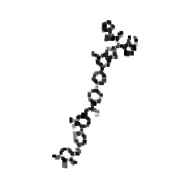 O=C1CCC(Oc2ccc(C3CCN(CC(=O)N4CCN(c5ccc(-c6cc(F)c7cn(C(C(=O)Nc8nccs8)c8ncn9c8CCC9)nc7c6)cc5)CC4)CC3(F)F)nc2)C(=O)N1